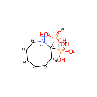 O=P(O)(O)C1(P(=O)(O)O)CCCCCCN1